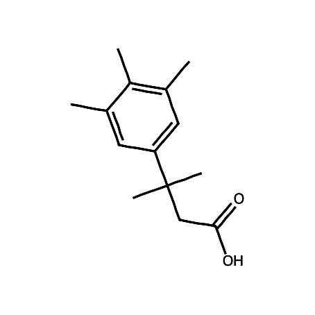 Cc1cc(C(C)(C)CC(=O)O)cc(C)c1C